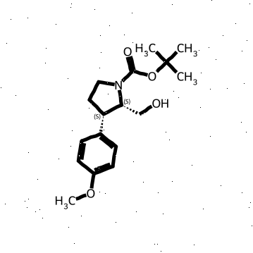 COc1ccc([C@@H]2CCN(C(=O)OC(C)(C)C)[C@@H]2CO)cc1